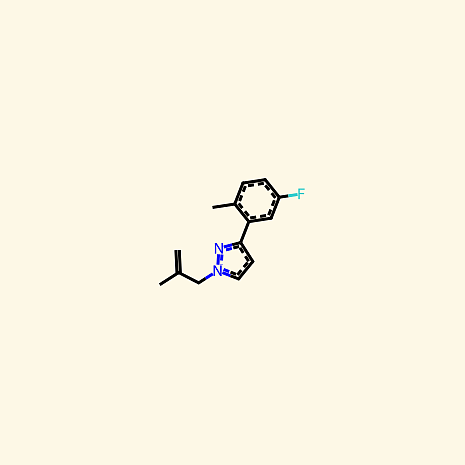 C=C(C)Cn1ccc(-c2cc(F)ccc2C)n1